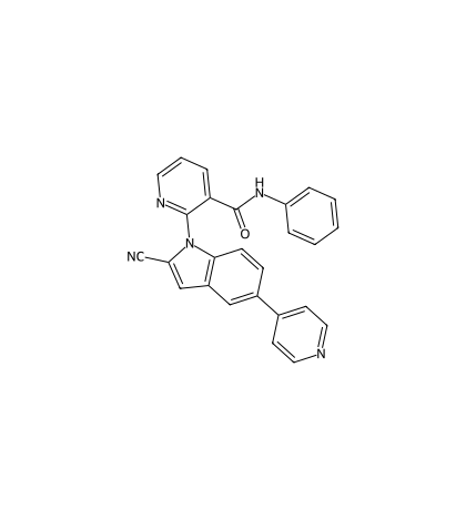 N#Cc1cc2cc(-c3ccncc3)ccc2n1-c1ncccc1C(=O)Nc1ccccc1